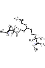 CNCCC(CCNC(C)(C)/C(C)=N/O)CCNC(C)(C)/C(C)=N/O